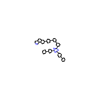 c1ccc(-c2ccc(-c3nc(-c4ccc(-c5ccccc5)cc4)nc(-c4cccc(-c5cccc(-c6ccc(-c7ccc8c(ccc9ccncc98)c7)cc6)c5)c4)n3)cc2)cc1